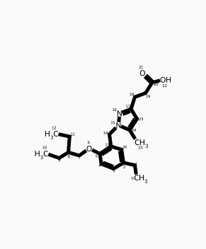 CCc1ccc(OCC(CC)CC)c(Cn2nc(CCC(=O)O)cc2C)c1